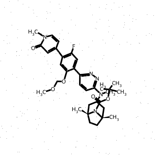 COCOc1cc(-c2ccn(C)c(=O)c2)c(F)cc1-c1ccc(N(C)[C@H]2C[C@]3(C)CC[C@](C)(C2)N3C(=O)OC(C)(C)C)nn1